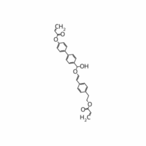 C=CC(=O)OCCc1ccc(/C=C/OC(O)c2ccc(-c3ccc(OC(=O)C=C)cc3)cc2)cc1